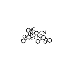 CCc1c(-n2c3ccccc3c3c4oc5ccccc5c4ccc32)c(C#N)cc(C#N)c1-n1c2ccccc2c2c3oc4ccccc4c3ccc21